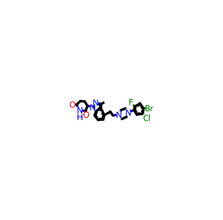 Cc1nn(C2CCC(=O)NC2=O)c2cccc(CCN3CCN(c4cc(Cl)c(Br)cc4F)CC3)c12